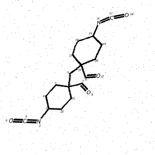 O=C=NC1CCC(C=O)(CC2(C=O)CCC(N=C=O)CC2)CC1